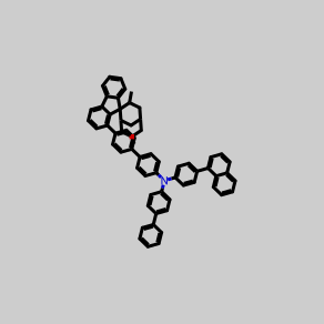 CC1CC2CC(C)C3(c4ccccc4-c4cccc(-c5ccc(-c6ccc(N(c7ccc(-c8ccccc8)cc7)c7ccc(-c8cccc9ccccc89)cc7)cc6)cc5)c43)C(C1)C2